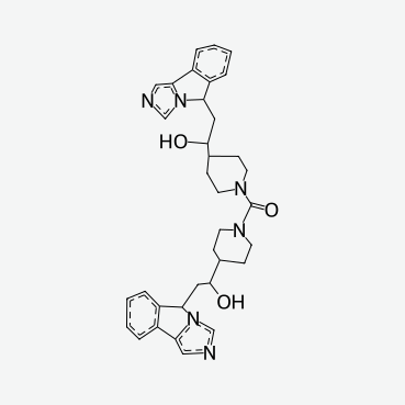 O=C(N1CCC(C(O)CC2c3ccccc3-c3cncn32)CC1)N1CCC(C(O)CC2c3ccccc3-c3cncn32)CC1